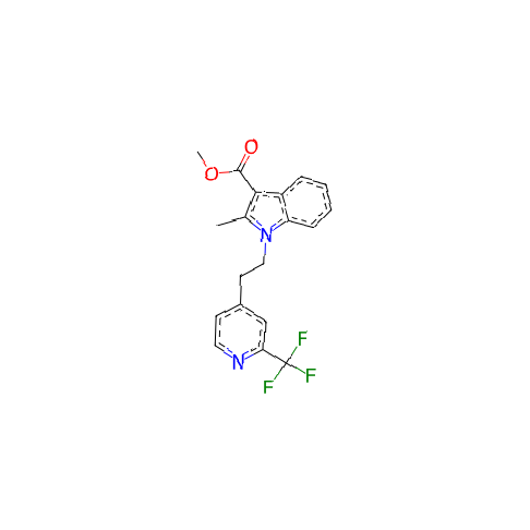 COC(=O)c1c(C)n(CCc2ccnc(C(F)(F)F)c2)c2ccccc12